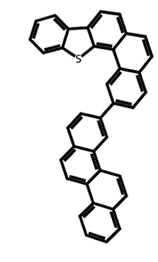 c1ccc2c(c1)ccc1c3cc(-c4ccc5ccc6ccc7c8ccccc8sc7c6c5c4)ccc3ccc21